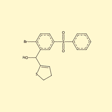 O=S(=O)(c1ccccc1)c1ccc(Br)c(C(O)C2=CCCS2)c1